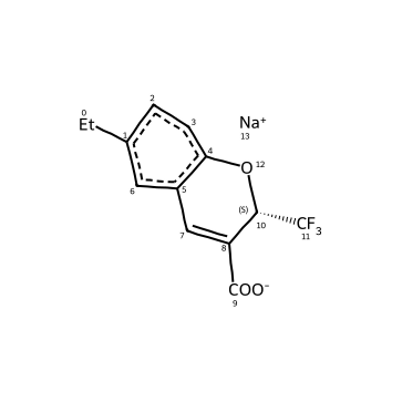 CCc1ccc2c(c1)C=C(C(=O)[O-])[C@@H](C(F)(F)F)O2.[Na+]